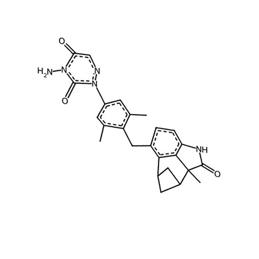 Cc1cc(-n2ncc(=O)n(N)c2=O)cc(C)c1Cc1ccc2c3c1C1CC(C1)C3(C)C(=O)N2